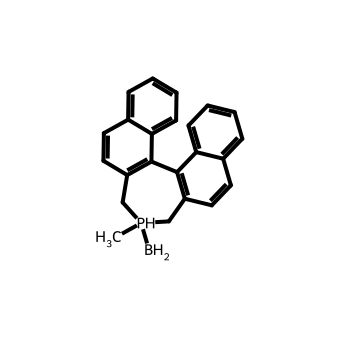 B[PH]1(C)Cc2ccc3ccccc3c2-c2c(ccc3ccccc23)C1